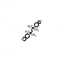 CC(C)(CCC(C)(C)N1CCC2(CC1)COC2)N1CCC2(CCOC2)CC1